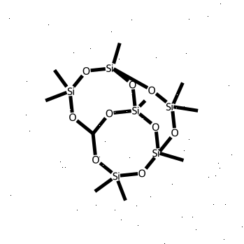 C[Si]1(C)OC2O[Si](C)(C)O[Si]3(C)O[Si](C)(C)O[Si](C)(O1)O[Si](C)(O2)O3